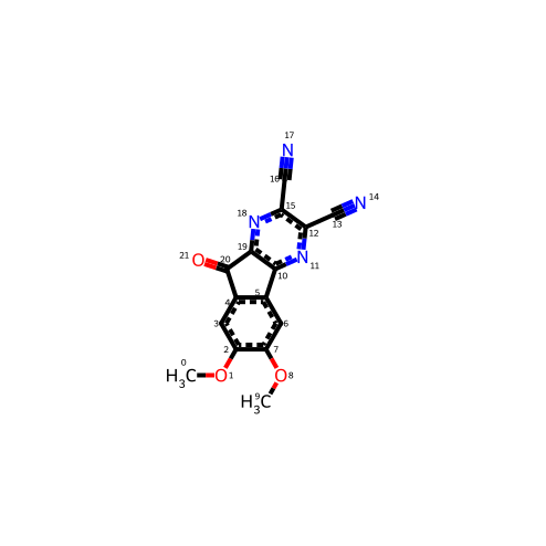 COc1cc2c(cc1OC)-c1nc(C#N)c(C#N)nc1C2=O